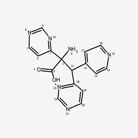 NC(C(=O)O)(c1ccncn1)C(c1ccncc1)c1ccncn1